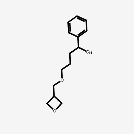 OC(CCCOCC1COC1)c1ccccc1